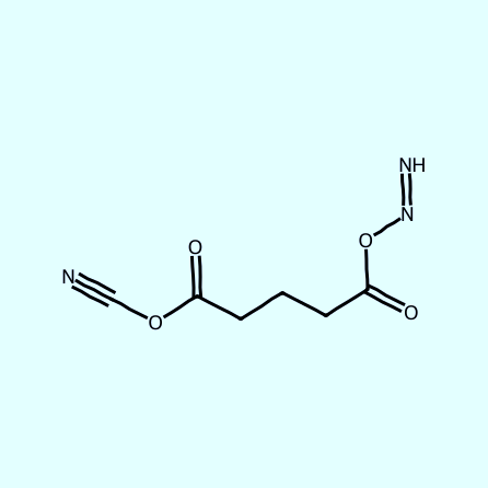 N#COC(=O)CCCC(=O)ON=N